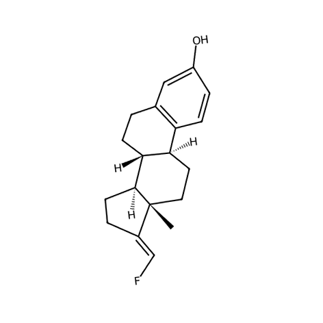 C[C@]12CC[C@@H]3c4ccc(O)cc4CC[C@H]3[C@@H]1CCC2=CF